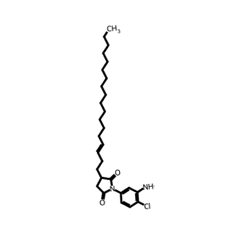 CCCCCCCCCCCCCCC=CCCC1CC(=O)N(c2ccc(Cl)c([NH])c2)C1=O